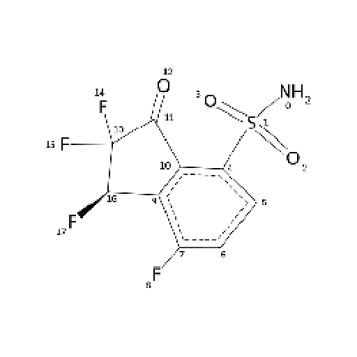 NS(=O)(=O)c1ccc(F)c2c1C(=O)C(F)(F)[C@@H]2F